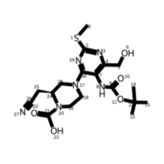 CSc1nc(CO)c(NC(=O)OC(C)(C)C)c(N2CCN(C(=O)O)[C@@H](CC#N)C2)n1